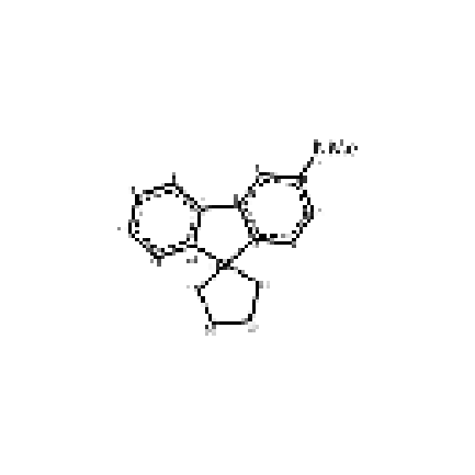 CNc1ccc2c(c1)-c1ccccc1C21CCCC1